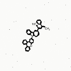 C#C/C(=C\C(=C/C)c1ccccc1)C1=Cc2c(n(-c3ccc4c(c3)-c3ccccc3-c3ccccc3O4)c3ccccc23)CC#C1